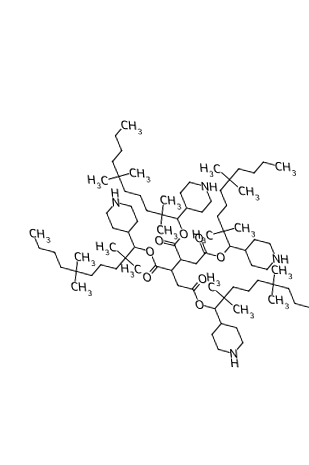 CCCCC(C)(C)CCCC(C)(C)C(OC(=O)CC(C(=O)OC(C1CCNCC1)C(C)(C)CCCC(C)(C)CCCC)C(CC(=O)OC(C1CCNCC1)C(C)(C)CCCC(C)(C)CCCC)C(=O)OC(C1CCNCC1)C(C)(C)CCCC(C)(C)CCCC)C1CCNCC1